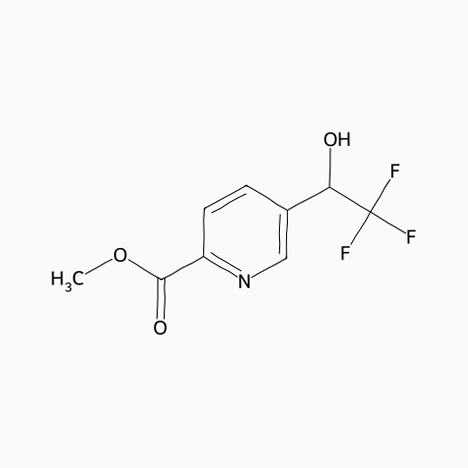 COC(=O)c1ccc(C(O)C(F)(F)F)cn1